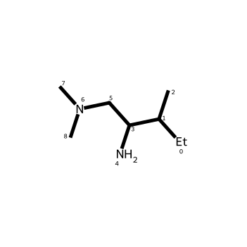 CCC(C)C(N)CN(C)C